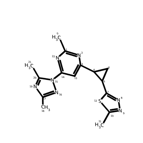 Cc1nc(C2CC2c2nnc(C)s2)cc(-n2nc(C)nc2C)n1